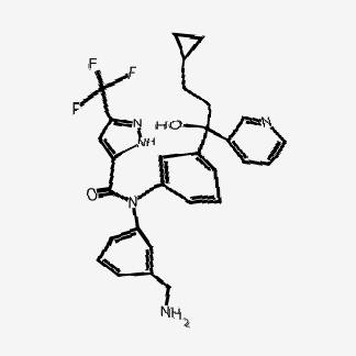 NCc1cccc(N(C(=O)c2cc(C(F)(F)F)n[nH]2)c2cccc(C(O)(CCC3CC3)c3cccnc3)c2)c1